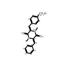 Cn1c(=O)c(=Cc2ccc(C(=O)O)cc2)n(C)c(=O)c1=Cc1ccccc1